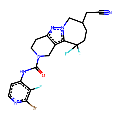 N#CCC1CCC(F)(F)c2c3c(nn2C1)CCN(C(=O)Nc1ccnc(Br)c1F)C3